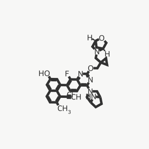 C#Cc1c(C)ccc2cc(O)cc(-c3c(Cl)cc4c(N5CC6CCC(C5)N6)nc(OCC5(CN6C[C@H]7C[C@@H]6CO7)CC5)nc4c3F)c12